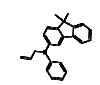 C=CCN(c1ccccc1)c1ccc2c(c1)-c1ccccc1C2(C)C